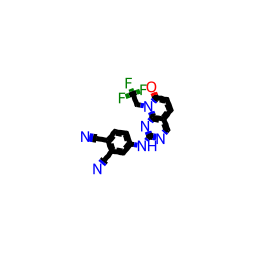 N#Cc1ccc(Nc2ncc3ccc(=O)n(CC(F)(F)F)c3n2)cc1C#N